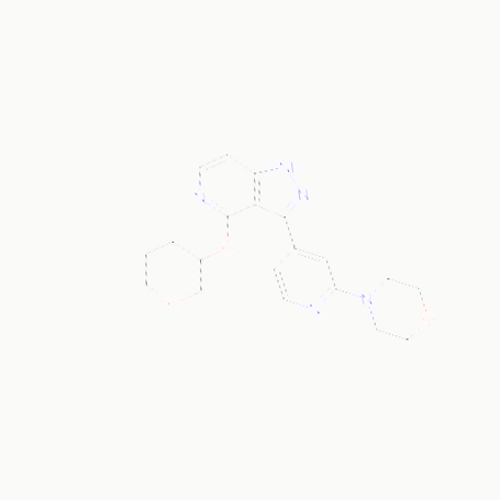 c1cc(-c2n[nH]c3ccnc(OC4CCCOC4)c23)cc(N2CCOCC2)n1